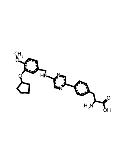 COc1ccc(CNc2cnc(-c3ccc(CC(N)C(=O)O)cc3)cn2)cc1OC1CCCC1